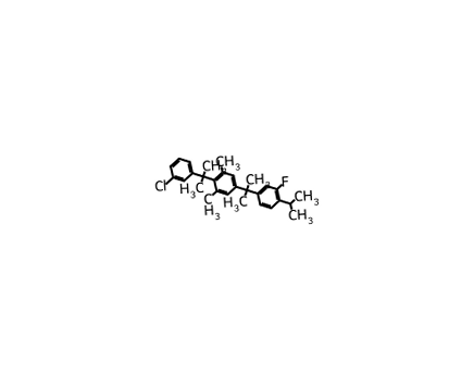 Cc1cc(C(C)(C)c2ccc(C(C)C)c(F)c2)cc(C)c1C(C)(C)c1cccc(Cl)c1